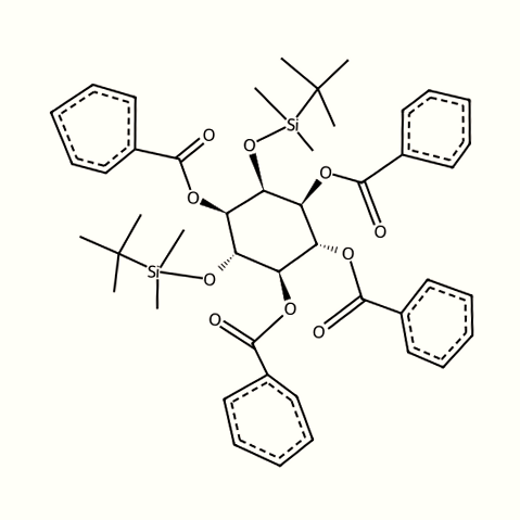 CC(C)(C)[Si](C)(C)O[C@@H]1[C@@H](OC(=O)c2ccccc2)[C@@H](O[Si](C)(C)C(C)(C)C)[C@@H](OC(=O)c2ccccc2)[C@H](OC(=O)c2ccccc2)[C@H]1OC(=O)c1ccccc1